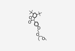 CCOCC(CC)OCCOc1ccc(C2C(=O)Oc3c2cc(C(C)(C)C)cc3C(C)(C)C)cc1